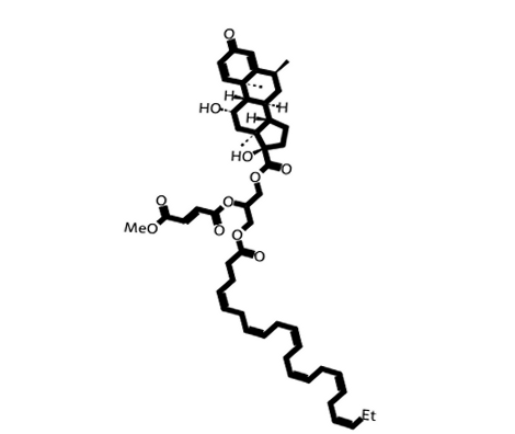 CC/C=C\C/C=C\C/C=C\C/C=C\C/C=C\C/C=C\CCC(=O)OCC(COC(=O)[C@@]1(O)CC[C@H]2[C@@H]3C[C@H](C)C4=CC(=O)C=C[C@]4(C)[C@H]3[C@@H](O)C[C@@]21C)OC(=O)/C=C/C(=O)OC